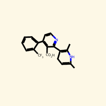 CC1=CCC(c2nccc(-c3ccccc3C(F)(F)F)c2C(=O)O)=C(C)N1